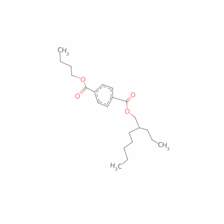 CCCCCC(CCC)COC(=O)c1ccc(C(=O)OCCCC)cc1